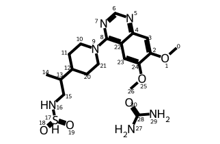 COc1cc2ncnc(N3CCC(C(C)CN[SH](=O)=O)CC3)c2cc1OC.NC(N)=O